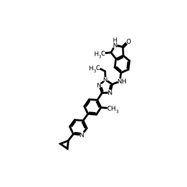 CCn1nc(-c2ccc(-c3ccc(C4CC4)nc3)cc2C)nc1Nc1ccc2c(c1)C(C)NC2=O